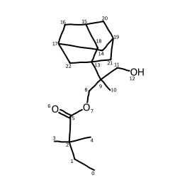 CCC(C)(C)C(=O)OCC(C)(CO)C12CC3CC(CC(C3)C1)C2